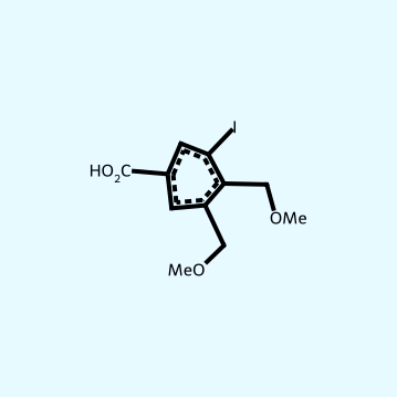 COCc1cc(C(=O)O)cc(I)c1COC